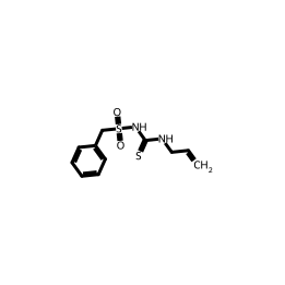 C=CCNC(=S)NS(=O)(=O)Cc1ccccc1